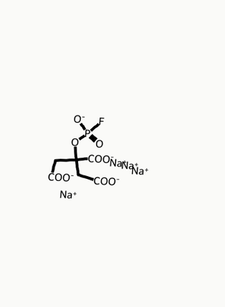 O=C([O-])CC(CC(=O)[O-])(OP(=O)([O-])F)C(=O)[O-].[Na+].[Na+].[Na+].[Na+]